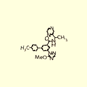 COc1ncnn1-c1cc(C(=O)NC(C)c2cnccn2)cc(-c2ccc(C)cc2)c1